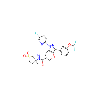 CC1(NC(=O)C2COc3c(-c4cccc(OC(F)F)c4)nn(-c4ccc(F)cn4)c3C2)CCS(=O)(=O)C1